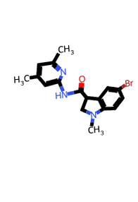 Cc1cc(C)nc(NC(=O)C2CN(C)c3ccc(Br)cc32)c1